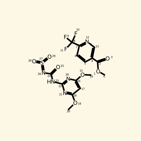 COC(=O)c1ccc(C(F)(F)F)nc1.COc1cc(OC)nc(NC(=O)N=S(=O)=O)n1